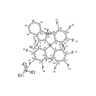 CC[NH+](CC)CC.Cc1c([B-](c2c(F)c(F)c(F)c(F)c2F)(c2c(F)c(F)c(F)c(F)c2F)c2c(F)c(F)c(F)c(F)c2F)[nH]c2ccccc12